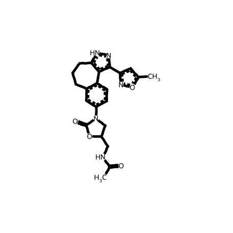 CC(=O)NCC1CN(c2ccc3c(c2)CCCc2[nH]nc(-c4cc(C)on4)c2-3)C(=O)O1